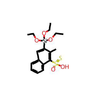 CCO[Si](OCC)(OCC)c1cc2ccccc2c(S(=O)(O)=S)c1C